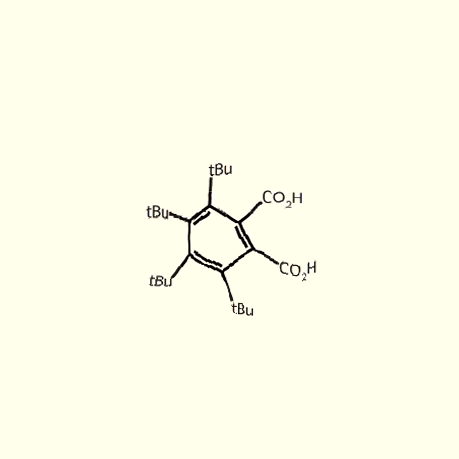 CC(C)(C)c1c(C(=O)O)c(C(=O)O)c(C(C)(C)C)c(C(C)(C)C)c1C(C)(C)C